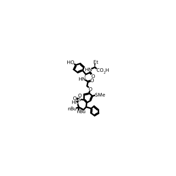 CCCCC1(CCCC)CC(c2ccccc2)c2cc(SC)c(OCC(=O)N[C@@H](C(=O)N[C@@H](CC)C(=O)O)c3ccc(O)cc3)cc2S(=O)(=O)N1